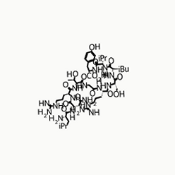 CC[C@H](C)[C@H](NC(=O)[C@H](CO)NC(=O)[C@H](CCCNC(=N)N)NC(=O)CNC(=O)[C@@H](NC(=O)[C@H](CCCNC(=N)N)NC(=O)[C@H](CC(N)=O)NC(=O)[C@@H](N)CC(C)C)[C@@H](C)O)C(=O)N[C@H](C(=O)N[C@@H](Cc1ccc(O)cc1)C(=O)O)C(C)C